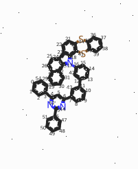 c1ccc(-c2cc(-c3cccc(-c4cccc(-n5c6c7c(ccc6c6ccc8ccccc8c65)Sc5ccccc5S7)c4)c3)nc(-c3ccccc3)n2)cc1